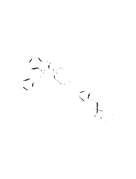 CCOC(=O)C(C)(C)Cc1ccc(CCN2CCCN(c3nc4ccccc4n3Cc3ccc(F)cc3)CCC2)cc1